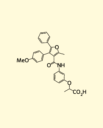 COc1ccc(-c2c(-c3ccccc3)oc(C)c2C(=O)Nc2cccc(OC(C)C(=O)O)c2)cc1